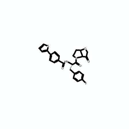 O=C(N[C@@H](Cc1ccc(F)cc1)C(=O)N1CCC2OCC(=O)C21)c1ccc(-c2cccs2)cc1